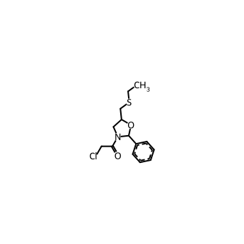 CCSCC1CN(C(=O)CCl)C(c2ccccc2)O1